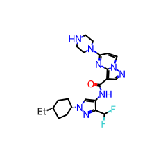 CC[C@H]1CC[C@H](n2cc(NC(=O)c3cnn4ccc(N5CCNCC5)nc34)c(C(F)F)n2)CC1